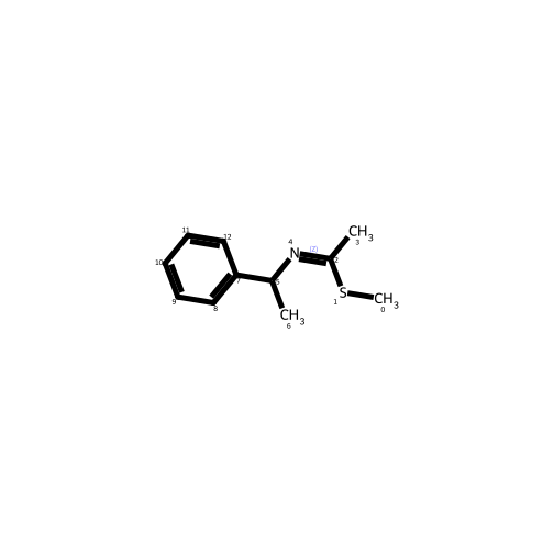 CS/C(C)=N\C(C)c1ccccc1